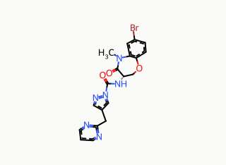 CN1C(=O)[C@@H](NC(=O)n2cc(Cc3ncccn3)cn2)COc2ccc(Br)cc21